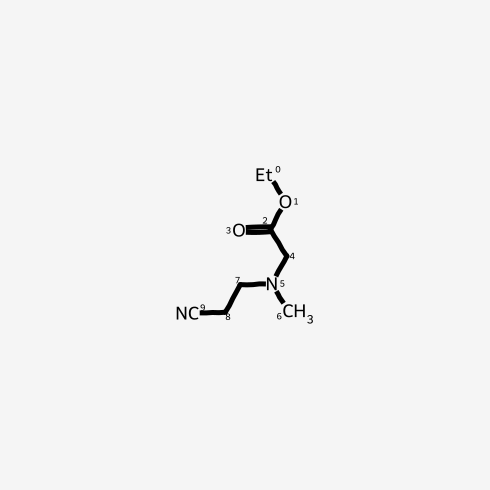 CCOC(=O)CN(C)CCC#N